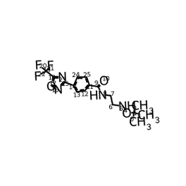 CC(C)(C)ONCCNC(=O)c1ccc(-c2noc(C(F)(F)F)n2)cc1